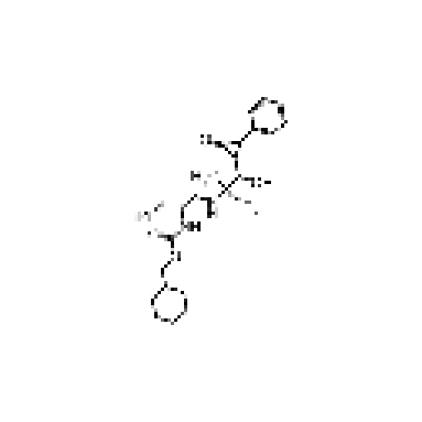 CC(C)C[C@H](CNC(C)(C)[C@H](O)C1C(=O)C1c1ccccc1)NC(=O)OCC1CCCCC1